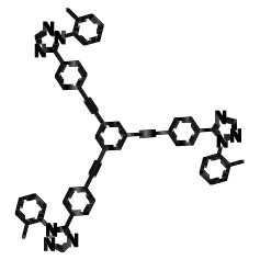 Cc1ccccc1-n1ncnc1-c1ccc(C#Cc2cc(C#Cc3ccc(-c4ncnn4-c4ccccc4C)cc3)cc(C#Cc3ccc(-c4ncnn4-c4ccccc4C)cc3)c2)cc1